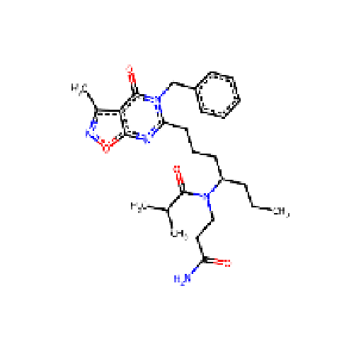 CCCC(CCCc1nc2onc(C)c2c(=O)n1Cc1ccccc1)N(CCC(N)=O)C(=O)C(C)C